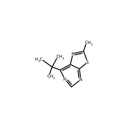 Cc1nc2c(C(C)(C)C)ncnc2s1